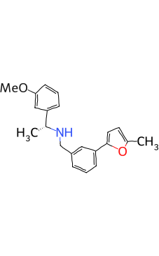 COc1cccc([C@@H](C)NCc2cccc(-c3ccc(C)o3)c2)c1